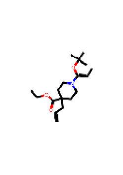 C=CCC1(C(=O)OCC)CCN(C(=CC)OC(C)(C)C)CC1